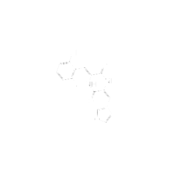 O=c1[nH]c(=Cc2c(Cl)cccc2Cl)c(=O)[nH]c1=Cc1ccoc1